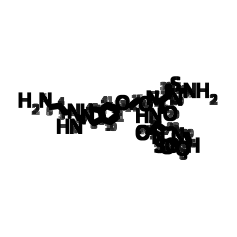 N=C(NCCCN)N1Cc2ccc(OCCO/N=C(\C(=O)N[C@@H]3C(=O)N(S(=O)(=O)O)[C@@H]3CN3CCOC3=O)c3csc(N)n3)cc2C1